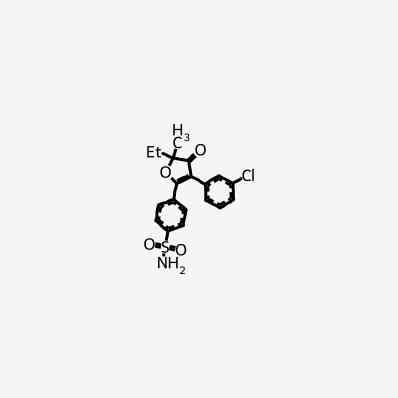 CCC1(C)OC(c2ccc(S(N)(=O)=O)cc2)=C(c2cccc(Cl)c2)C1=O